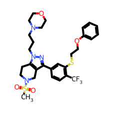 CS(=O)(=O)N1CCc2c(c(-c3ccc(C(F)(F)F)c(SCCOc4ccccc4)c3)nn2CCCN2CCOCC2)C1